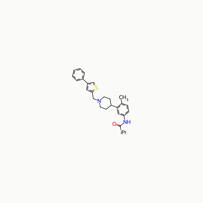 Cc1ccc(NC(=O)C(C)C)cc1C1CCN(Cc2cc(-c3ccccc3)cs2)CC1